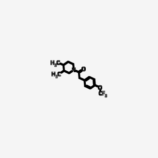 CC1CCN(C(=O)Cc2ccc(OC(F)(F)F)cc2)CC1C